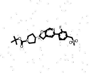 CC(C)(C)OC(=O)N1CCC([C@H]2Cc3cc(-c4ccc(CS(C)(=O)=O)cc4F)ncc3O2)CC1